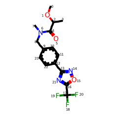 COC(C)C(=O)N(C)Cc1ccc(-c2noc(C(F)(F)F)n2)cc1